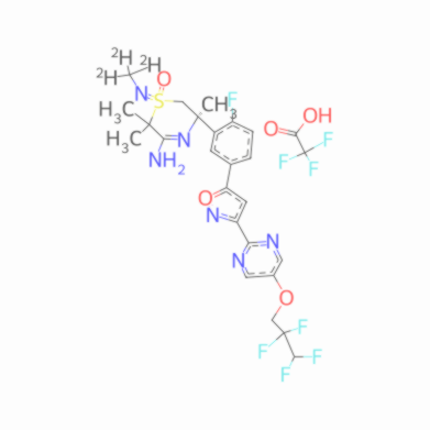 O=C(O)C(F)(F)F.[2H]C([2H])([2H])N=S1(=O)C[C@@](C)(c2cc(-c3cc(-c4ncc(OCC(F)(F)C(F)F)cn4)no3)ccc2F)N=C(N)C1(C)C